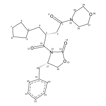 O=C(C[C@@H](CC1CCCC1)C(=O)N1C(=O)OC[C@@H]1Cc1ccccc1)N1CCOCC1